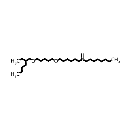 CCCCCCCCNCCCCCCOCCCCCOCC(CC)CCCC